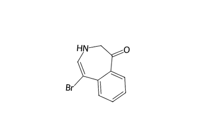 O=C1CNC=C(Br)c2ccccc21